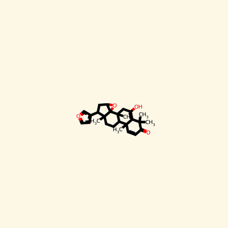 CC1(C)C(=O)C=CC2(C)C1=C(O)CC1(C)C2CCC2(C)C(c3ccoc3)CC3OC321